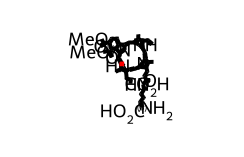 C=Cc1c(C)c2cc3nc(cc4[nH]c(cc5nc(cc1[nH]2)C(C)=C5CCC(=O)NCCCC[C@H](N)C(=O)O)c(CCC(=O)O)c4C)[C@@]1(C)C3=CC=C(C(=O)OC)[C@H]1C(=O)OC